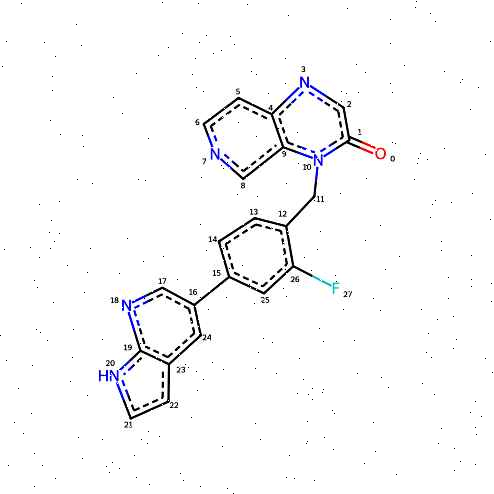 O=c1cnc2ccncc2n1Cc1ccc(-c2cnc3[nH]ccc3c2)cc1F